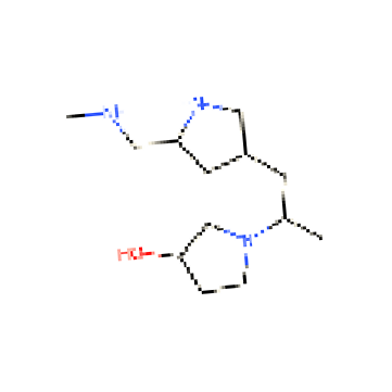 CNCC1CC(CC(C)N2CCC(O)C2)CN1